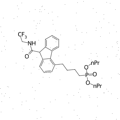 CCCOP(=O)(CCCCc1cccc2c1-c1ccccc1C2C(=O)NCC(F)(F)F)OCCC